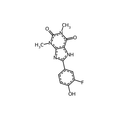 Cn1c(=O)c2[nH]c(-c3ccc(O)c(F)c3)nc2n(C)c1=O